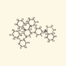 c1ccc(-c2cc(-c3ccc(N4CCCc5ccccc54)cc3)c3c4ccccc4c4ccccc4c3c2-c2ccccc2)cc1